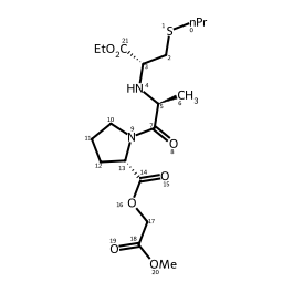 CCCSC[C@H](N[C@@H](C)C(=O)N1CCC[C@H]1C(=O)OCC(=O)OC)C(=O)OCC